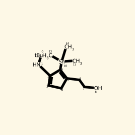 CC(C)(C)NC1=CCC(CCO)=[C]1[Sn]([CH3])([CH3])[CH3]